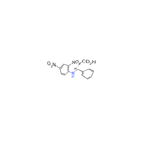 O=C(O)C[C@@H](Nc1ccc([N+](=O)[O-])cc1[N+](=O)[O-])c1ccccc1